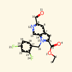 CCOC(=O)c1cc2cc(C=O)ncc2n1Cc1ccc(F)cc1F